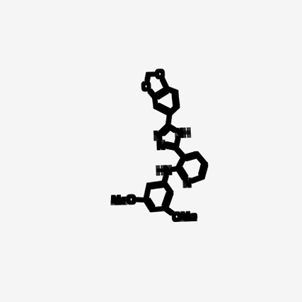 COc1cc(Nc2ncccc2-c2nnc(-c3ccc4c(c3)OCO4)[nH]2)cc(OC)c1